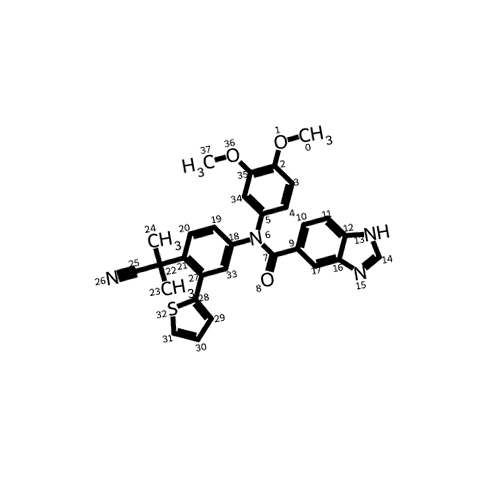 COc1ccc(N(C(=O)c2ccc3[nH]cnc3c2)c2ccc(C(C)(C)C#N)c(-c3cccs3)c2)cc1OC